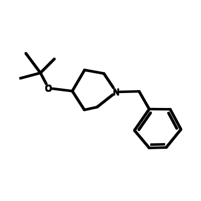 CC(C)(C)OC1CCN(Cc2ccccc2)CC1